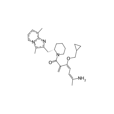 C=C(C(=O)N1CCCC[C@H]1Cc1nc2c(C)cccn2c1C)/C(=C\C=C(\C)N)OCC1CC1